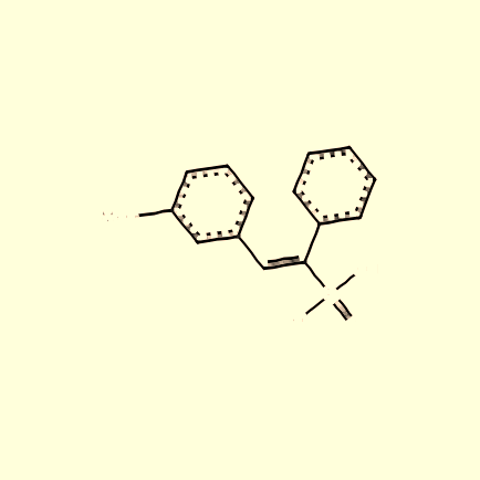 COc1cccc(/C=C(\c2ccccc2)P(=O)(O)O)c1